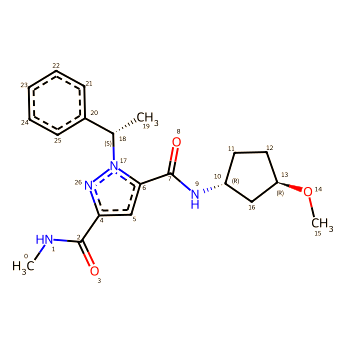 CNC(=O)c1cc(C(=O)N[C@@H]2CC[C@@H](OC)C2)n([C@@H](C)c2ccccc2)n1